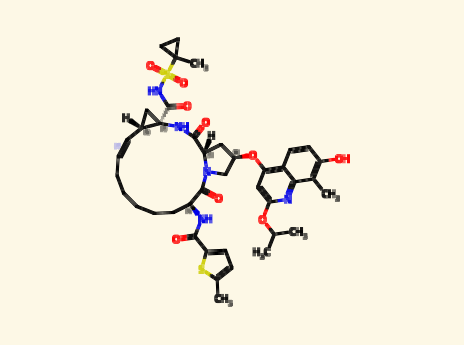 Cc1ccc(C(=O)N[C@H]2CCCCC/C=C\[C@@H]3C[C@@]3(C(=O)NS(=O)(=O)C3(C)CC3)NC(=O)[C@@H]3C[C@@H](Oc4cc(OC(C)C)nc5c(C)c(O)ccc45)CN3C2=O)s1